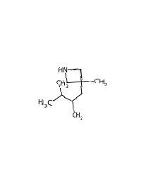 CC(C)C(C)CC1(C)CNC1